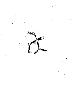 CCO[P@@](=O)(SC)N(C)C